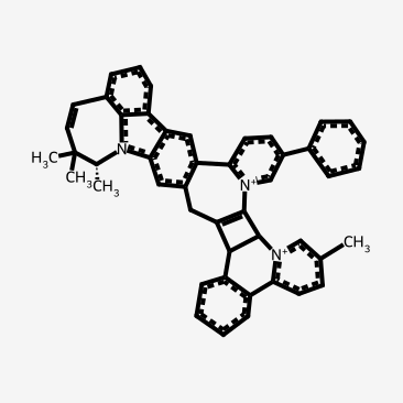 Cc1ccc2[n+](c1)C1C3=C(Cc4cc5c(cc4-c4ccc(-c6ccccc6)c[n+]43)c3cccc4c3n5[C@H](C)C(C)(C)C=C4)C1c1ccccc1-2